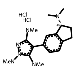 CNc1nn(NC)c(NC)c1-c1ccc2c(c1)[C@H](N(C)C)CC2.Cl.Cl